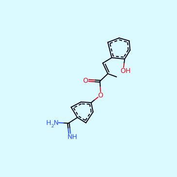 CC(=Cc1ccccc1O)C(=O)Oc1ccc(C(=N)N)cc1